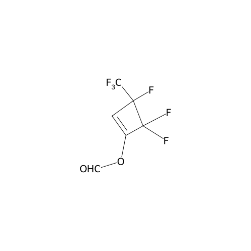 O=COC1=CC(F)(C(F)(F)F)C1(F)F